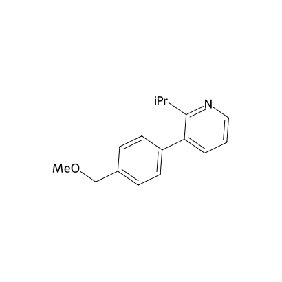 COCc1ccc(-c2cccnc2C(C)C)cc1